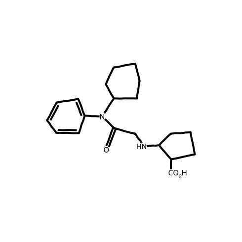 O=C(O)C1CCCC1NCC(=O)N(c1ccccc1)C1CCCCC1